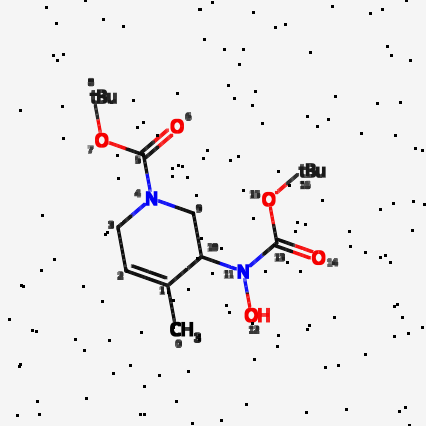 CC1=CCN(C(=O)OC(C)(C)C)CC1N(O)C(=O)OC(C)(C)C